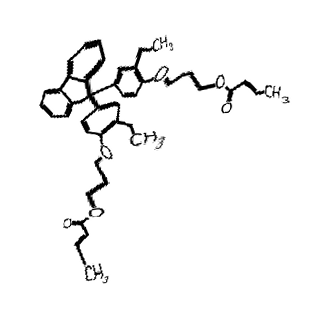 CC=CC(=O)OCCCOc1ccc(C2(c3ccc(OCCCOC(=O)C=CC)c(CC)c3)c3ccccc3-c3ccccc32)cc1CC